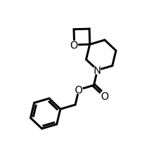 O=C(OCc1ccccc1)N1CCCC2(CCO2)C1